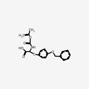 C=C(C)OC(=O)NC(Cc1ccc(OCc2ccccc2)cc1)C(=O)O